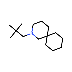 CC(C)(C)CN1CCCC2(CCCCC2)C1